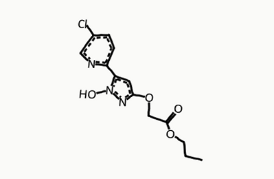 CCCOC(=O)COc1cc(-c2ccc(Cl)cn2)n(O)n1